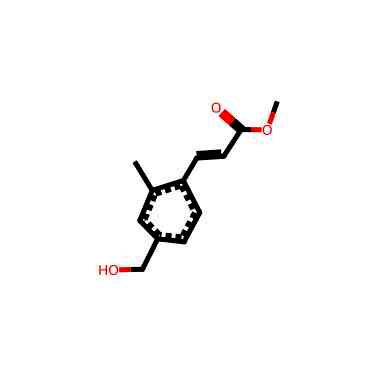 COC(=O)C=Cc1ccc(CO)cc1C